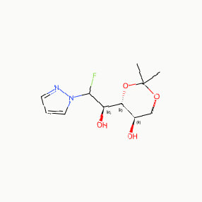 CC1(C)OC[C@@H](O)[C@H]([C@@H](O)C(F)n2cccn2)O1